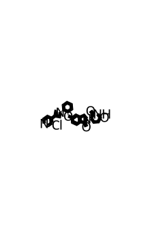 O=C1CCC(N2Cc3cc(O[C@H]4CCCC[C@H]4N4CC(c5ccncc5Cl)C4)ccc3C2=O)C(=O)N1